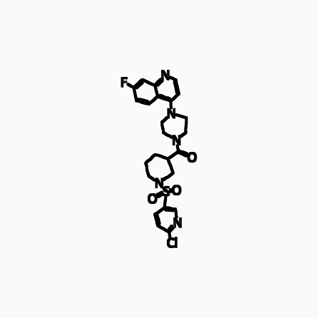 O=C(C1CCCN(S(=O)(=O)c2ccc(Cl)nc2)C1)N1CCN(c2ccnc3cc(F)ccc23)CC1